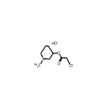 CN1CCCC(OC(=O)CCl)C1.Cl